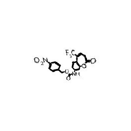 O=C1CC=C(C(F)(F)F)c2ccc(NC(=O)OCc3ccc([N+](=O)[O-])cc3)cc2O1